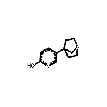 Oc1ccc(C23CCN(CC2)C3)cn1